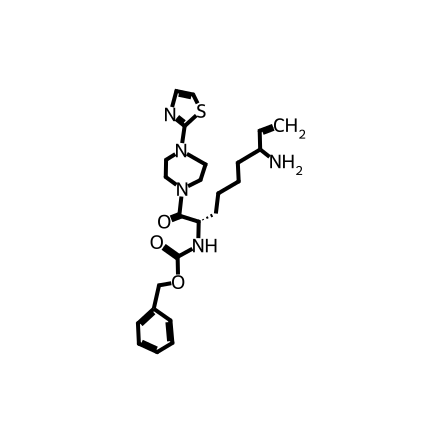 C=CC(N)CCCC[C@H](NC(=O)OCc1ccccc1)C(=O)N1CCN(c2nccs2)CC1